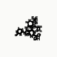 Cc1cccc(-c2nc3nc(C(=O)O)nc(N[C@H](C)C4CCC4)c3n2C[C@H]2CC[C@@H](C(F)(F)F)CC2)c1